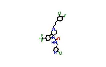 O=C(NCc1ccnc(Cl)c1)n1c2c(c3cc(C(F)(F)F)ccc31)CN(C/C=C/c1ccc(F)c(Cl)c1)CC2